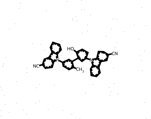 Cc1ccc(-n2c3ccccc3c3cc(C#N)ccc32)cc1-c1cc(-n2c3ccccc3c3cc(C#N)ccc32)ccc1O